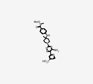 CON(C)C(=O)c1ccc(NC2(C)CCN(c3nnc(-c4cc(C(=O)O)ccn4)c(N)n3)CC2)cc1